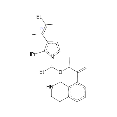 C=C(c1cccc2c1CNCC2)C(C)OC(CC)n1ccc(/C(C)=C(\C)CC)c1C(C)C